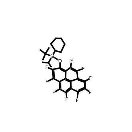 CC(C)[Si](Oc1c(F)c(F)c2c(F)c(F)c3c(F)c(F)c(F)c4c(F)c(F)c1c2c34)(C1CCCCC1)C(C)(C)C